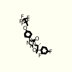 C[C@@H](n1nnn(-c2ccc(OCC(F)(F)C(F)(F)F)cc2)c1=O)[C@]1(c2ccc(F)cc2F)CO1